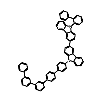 c1ccc(-c2cccc(-c3cccc(-c4ccc(-c5ccc(-n6c7ccccc7c7cc(-c8ccc9c(c8)c8ccccc8n9-c8ccccc8-c8ccccc8)ccc76)cc5)cc4)c3)c2)cc1